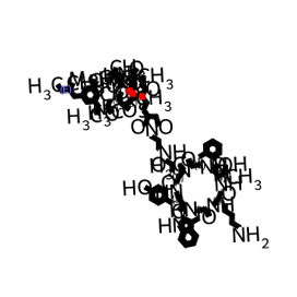 C/C=C(\C)Cc1cc(OC)c(Cl)c(N(C)C(=O)C[C@H](OC(=O)[C@H](C)N(C)C(=O)CCSC2CC(=O)N(CCCNC(=O)CC[C@H]3C(=O)N[C@@H](Cc4ccc(O)cc4)C(=O)N[C@H](Cc4c[nH]c5ccccc45)C(=O)N[C@@H](CCCCCN)C(=O)N[C@@H]([C@@H](C)O)C(=O)N[C@@H](Cc4ccccc4)C(=O)N3C)C2=O)[C@]2(C)O[C@H]2[C@H](C)[C@@H]2C[C@](O)([C@@H](C)OC)NC(=O)O2)c1